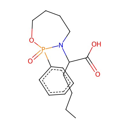 CCCCC(C(=O)O)N1CCCCOP1(=O)c1ccccc1